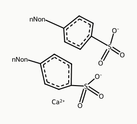 CCCCCCCCCc1ccc(S(=O)(=O)[O-])cc1.CCCCCCCCCc1ccc(S(=O)(=O)[O-])cc1.[Ca+2]